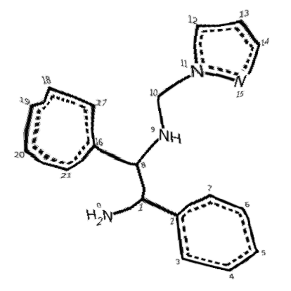 NC(c1ccccc1)C(NCn1cccn1)c1ccccc1